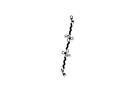 O=C=NCCCCCCNC(=O)OCCCCOC(=O)NCCCCCCN=C=O